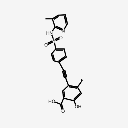 Cc1cccnc1NS(=O)(=O)c1ccc(C#Cc2cc(C(=O)O)c(O)cc2F)cc1